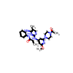 C=CC(=O)Nc1ccccc1Nc1nc(Nc2cc(OC)nc(N3CCN(C(C)=O)CC3)c2)ncc1C